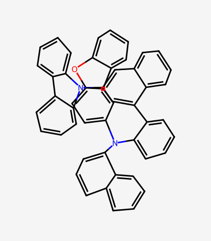 c1ccc(N(c2ccc3oc4ccccc4c3c2)c2cccc3ccccc23)c(-c2cc(-n3c4ccccc4c4ccccc43)cc3ccccc23)c1